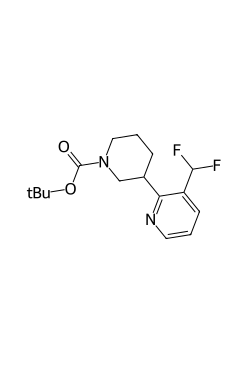 CC(C)(C)OC(=O)N1CCCC(c2ncccc2C(F)F)C1